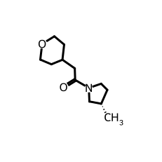 C[C@H]1CCN(C(=O)CC2CCOCC2)C1